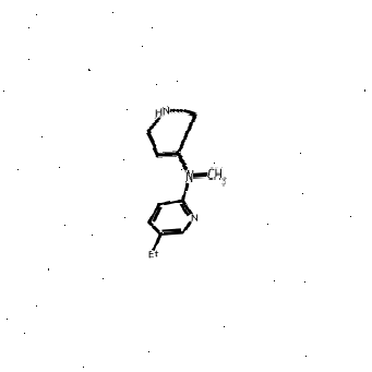 CCc1ccc(N(C)C2CCNC2)nc1